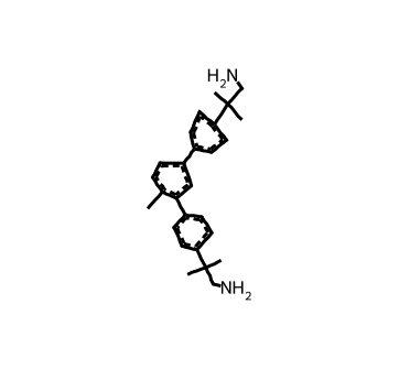 Cc1ccc(-c2ccc(C(C)(C)CN)cc2)cc1-c1ccc(C(C)(C)CN)cc1